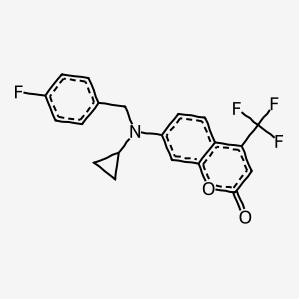 O=c1cc(C(F)(F)F)c2ccc(N(Cc3ccc(F)cc3)C3CC3)cc2o1